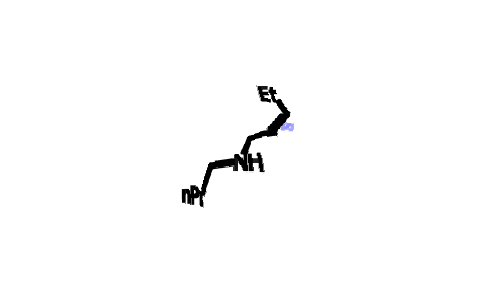 CC/C=C\CNCCCC